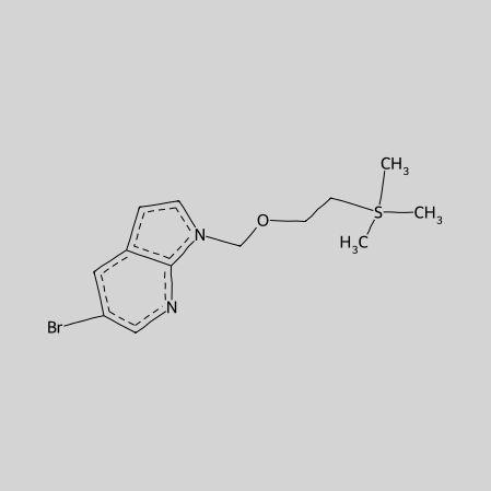 CS(C)(C)CCOCn1ccc2cc(Br)cnc21